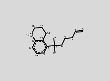 C=CCCCC(C)(C)c1cccc2c1CCCO2